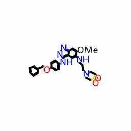 COc1cc2ncnc(Nc3ccc(OCc4ccccc4)cc3)c2cc1NCCCN1CCS(=O)(=O)CC1